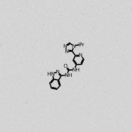 CC(C)n1cnnc1-c1cc(NC(=O)Nc2n[nH]c3ccccc23)ccn1